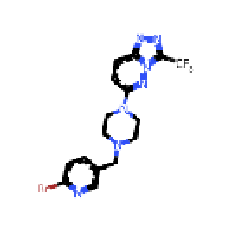 FC(F)(F)c1nnc2ccc(N3CCN(Cc4ccc(Br)nc4)CC3)nn12